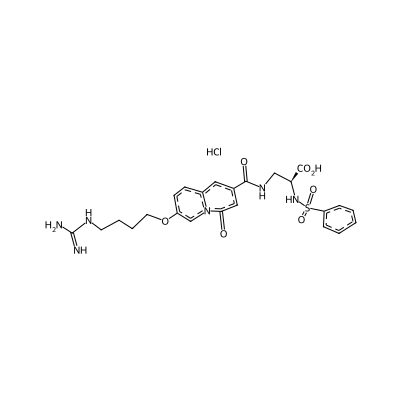 Cl.N=C(N)NCCCCOc1ccc2cc(C(=O)NC[C@H](NS(=O)(=O)c3ccccc3)C(=O)O)cc(=O)n2c1